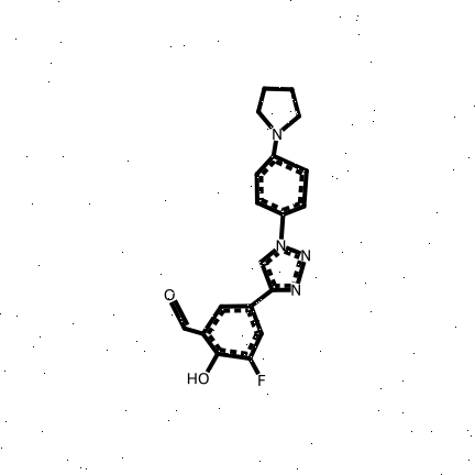 O=Cc1cc(-c2cn(-c3ccc(N4CCCC4)cc3)nn2)cc(F)c1O